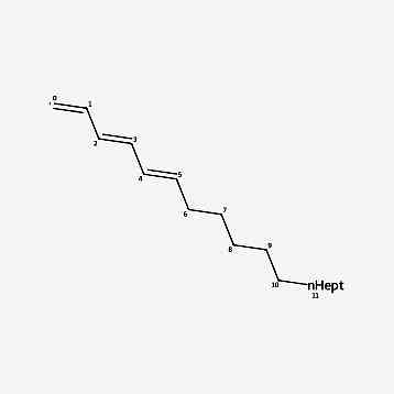 [CH]=CC=CC=CCCCCCCCCCCCC